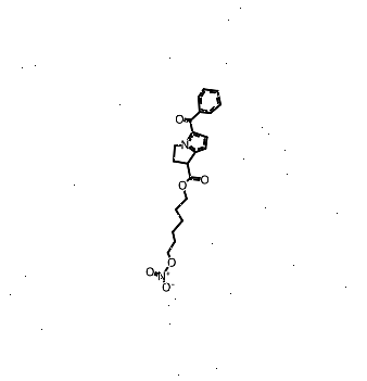 O=C(c1ccccc1)c1ccc2n1CCC2C(=O)OCCCCCCO[N+](=O)[O-]